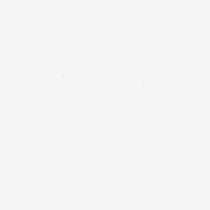 CCCCCC(CCC)CCCC[C]=O